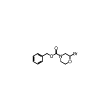 O=C(OCc1ccccc1)N1CCOC(Br)C1